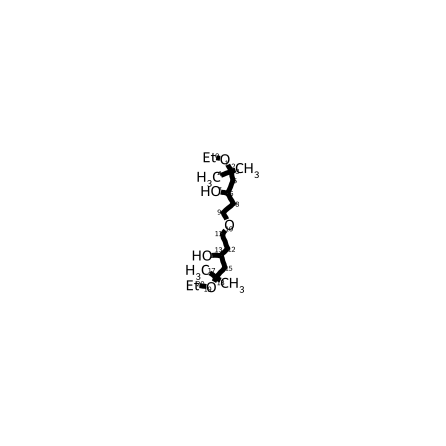 CCOC(C)(C)CC(O)CCOCCC(O)CC(C)(C)OCC